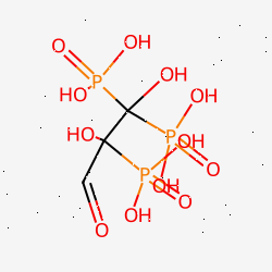 O=CC(O)(C(O)(P(=O)(O)O)P(=O)(O)O)P(=O)(O)O